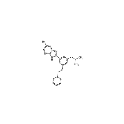 CC(C)Cc1cc(OCc2ccccc2)cc(-c2nc3cc(Br)cnc3[nH]2)c1